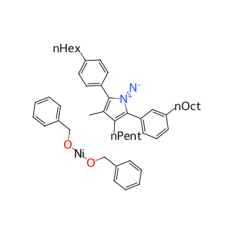 CCCCCCCCc1cccc(C2=C(CCCCC)C(C)=C(c3ccc(CCCCCC)cc3)[N+]2=[N-])c1.c1ccc(C[O][Ni][O]Cc2ccccc2)cc1